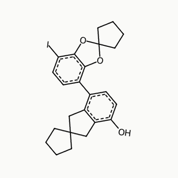 Oc1ccc(-c2ccc(I)c3c2OC2(CCCC2)O3)c2c1CC1(CCCC1)C2